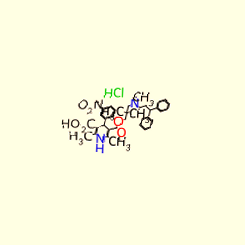 CC1=C(C(=O)O)C(c2cccc([N+](=O)[O-])c2)C(C(=O)OCC(C)(C)CN(C)CCC(c2ccccc2)c2ccccc2)=C(C)N1.Cl